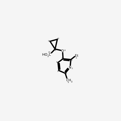 CCc1nc(C)ccc1OC1(C(=O)O)CC1